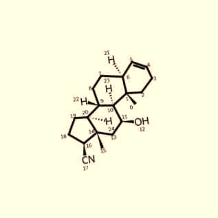 C[C@]12CCC=C[C@@H]1CC[C@@H]1[C@@H]2[C@@H](O)C[C@]2(C)[C@@H](C#N)CC[C@@H]12